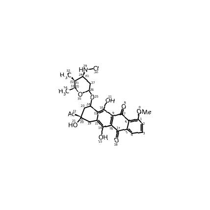 COc1cccc2c1C(=O)c1c(O)c3c(c(O)c1C2=O)C[C@@](O)(C(C)=O)CC3OC1C[C@H](NCl)[C@H](C)[C@H](C)O1